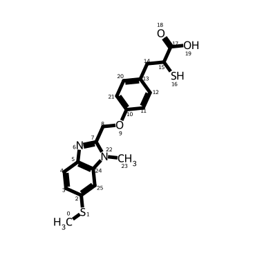 CSc1ccc2nc(COc3ccc(CC(S)C(=O)O)cc3)n(C)c2c1